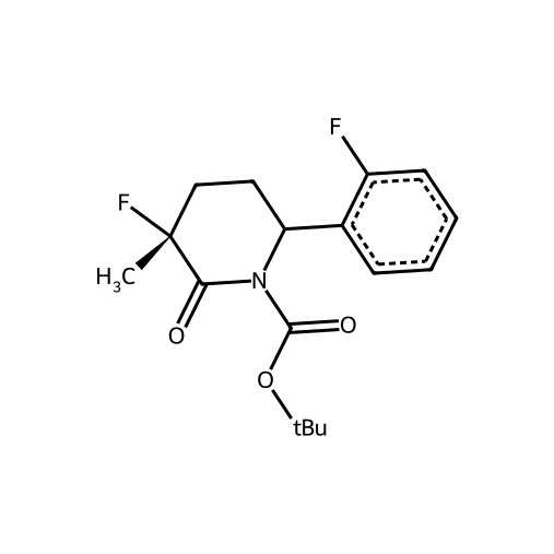 CC(C)(C)OC(=O)N1C(=O)[C@](C)(F)CCC1c1ccccc1F